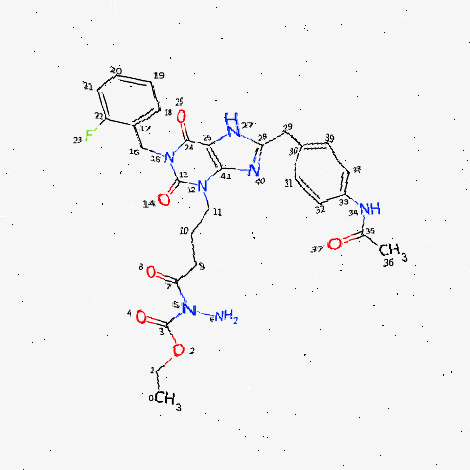 CCOC(=O)N(N)C(=O)CCCn1c(=O)n(Cc2ccccc2F)c(=O)c2[nH]c(Cc3ccc(NC(C)=O)cc3)nc21